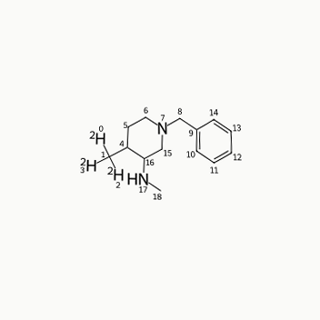 [2H]C([2H])([2H])C1CCN(Cc2ccccc2)CC1NC